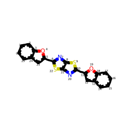 c1ccc2oc(-c3nc4sc(-c5cc6ccccc6o5)nc4s3)cc2c1